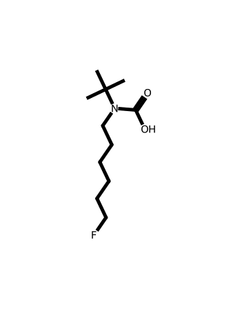 CC(C)(C)N(CCCCCCF)C(=O)O